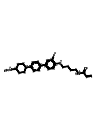 C=CC(=O)NCCCCOc1ccc(-c2ccc(C3CCC(CCCCC)CC3)cc2)cc1F